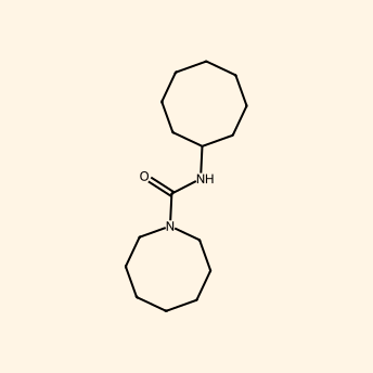 O=C(NC1CCCCCCC1)N1CCCCCCC1